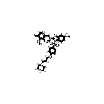 COc1ccc2c(c1)nc([S+]([O-])Cc1ncc(C)c(OC)c1C)n2S(=O)(=O)c1ccc(OCCCN2CCOCC2)cc1